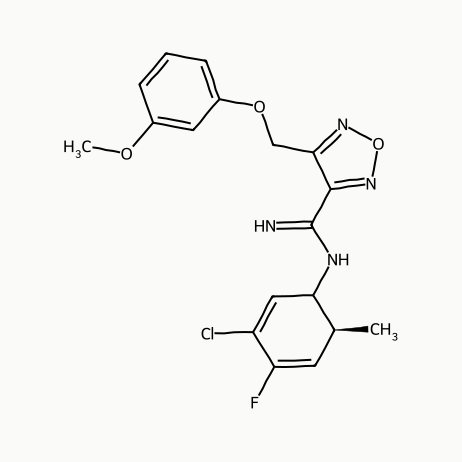 COc1cccc(OCc2nonc2C(=N)NC2C=C(Cl)C(F)=C[C@@H]2C)c1